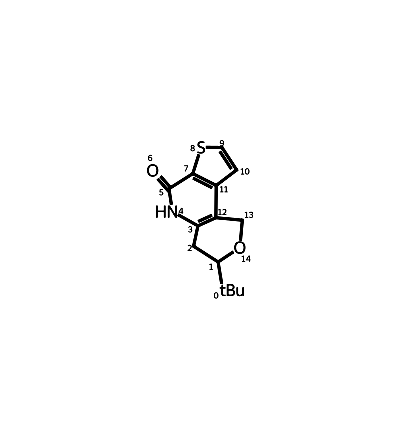 CC(C)(C)C1Cc2[nH]c(=O)c3sccc3c2CO1